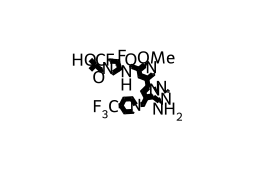 COc1ncc(-c2cc(CN3CCC(C(F)(F)F)CC3)c3c(N)ncnn23)cc1C(=O)N[C@@H]1CN(C(=O)C(C)(O)C(F)(F)F)C[C@@H]1F